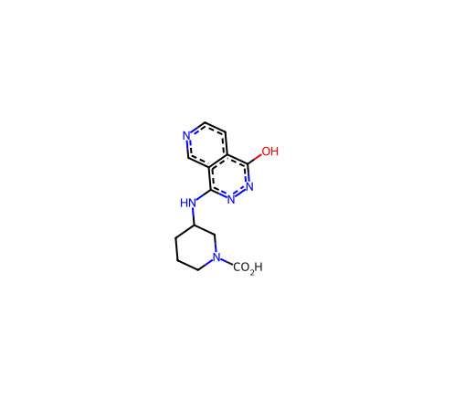 O=C(O)N1CCCC(Nc2nnc(O)c3ccncc23)C1